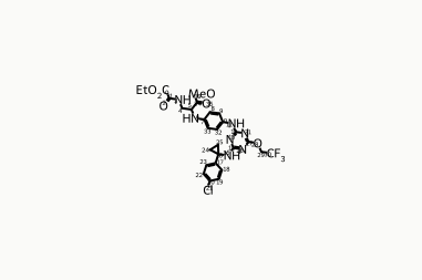 CCOC(=O)C(=O)NCC(Nc1ccc(Nc2nc(NC3(c4ccc(Cl)cc4)CC3)nc(OCC(F)(F)F)n2)cc1)C(=O)OC